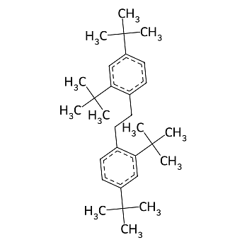 CC(C)(C)c1ccc(CCc2ccc(C(C)(C)C)cc2C(C)(C)C)c(C(C)(C)C)c1